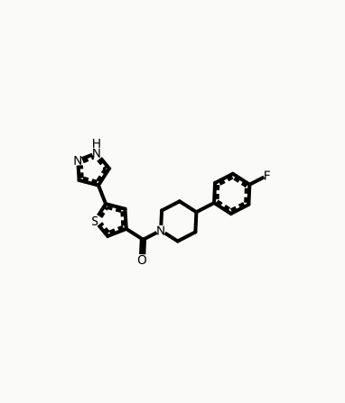 O=C(c1csc(-c2cn[nH]c2)c1)N1CCC(c2ccc(F)cc2)CC1